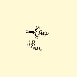 O.O.O.O.O.O=[N+]([O-])O.[PbH2]